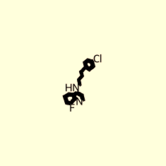 Fc1cccc2c(NCCCCc3ccc(Cl)cc3)ccnc12